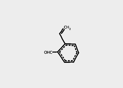 C=Cc1ccccc1C=O